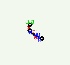 O=C(Cn1cnc2ccccc21)NC[C@@H](O)CN1CCC(Oc2ccc(Cl)c(Cl)c2)CC1